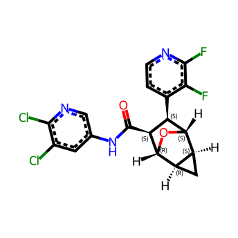 O=C(Nc1cnc(Cl)c(Cl)c1)[C@@H]1[C@@H]2O[C@@H]([C@H]3C[C@H]32)[C@@H]1c1ccnc(F)c1F